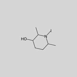 CC1CCC(O)C(C)N1I